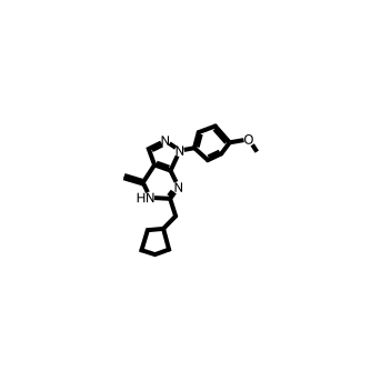 C=C1NC(CC2CCCC2)=Nc2c1cnn2-c1ccc(OC)cc1